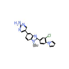 CC(C)(C)n1c(-c2ccc(-n3cccc3)c(Cl)c2)nc2cc(-c3cnc(N)nc3)ccc21